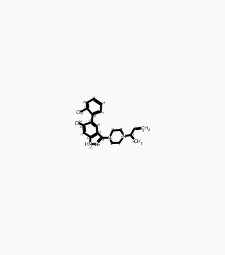 C=CC(C)N1CCN(c2n[nH]c3cc(Cl)c(-c4ccccc4Cl)cc23)CC1